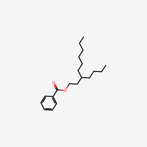 CCCCCCC(CCCC)CCOC(=O)c1ccccc1